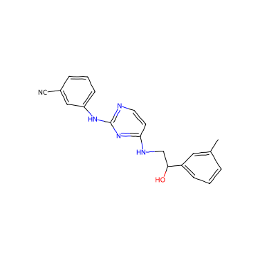 Cc1cccc(C(O)CNc2ccnc(Nc3cccc(C#N)c3)n2)c1